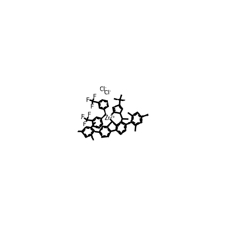 Cc1cc(C)c(-c2ccc3c(c2)[CH]([Zr+2]([C]2=CC(C(C)(C)C)=CC2C(C)C)=[C](c2cccc(C(F)(F)F)c2)c2cccc(C(F)(F)F)c2)c2cc(-c4c(C)cc(C)cc4C)ccc2-3)c(C)c1.[Cl-].[Cl-]